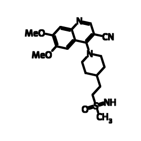 COc1cc2ncc(C#N)c(N3CCC(CCS(C)(=N)=O)CC3)c2cc1OC